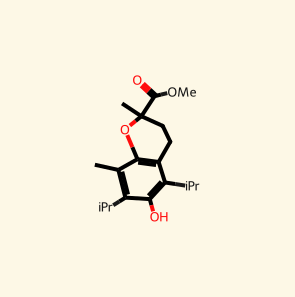 COC(=O)C1(C)CCc2c(c(C)c(C(C)C)c(O)c2C(C)C)O1